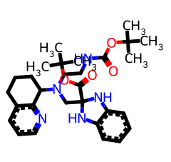 CC(C)(C)OC(=O)NCCN(CC1(C(=O)OC(C)(C)C)Nc2ccccc2N1)C1CCCc2cccnc21